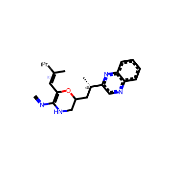 C=NC1=C(/C=C(\C)C(C)C)OC(C[C@H](C)c2cnc3ccccc3n2)CN1